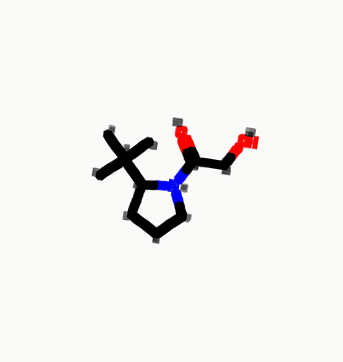 CC(C)(C)C1CCCN1C(=O)CO